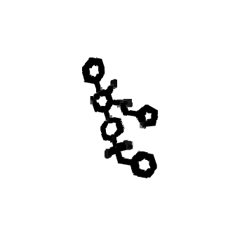 O=c1c(NCc2cccs2)c(N2CCN(S(=O)(=O)Cc3ccccc3)CC2)cnn1-c1ccccc1